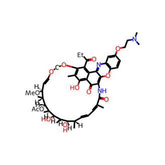 CCC(=O)c1c2c(C)c(O)c3c(=O)c(c4oc5ccc(OCCN(C)C)cc5nc-4c13)NC(=O)/C(C)=C\C=C\[C@H](C)[C@H](O)[C@@H](C)[C@@H](O)[C@@H](C)[C@H](OC(C)=O)[C@H](C)[C@@H](OC)/C=C/OCO2